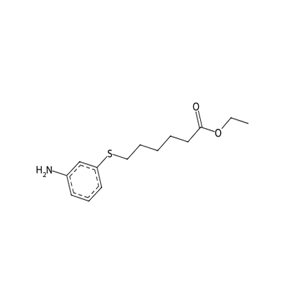 CCOC(=O)CCCCCSc1cccc(N)c1